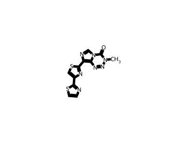 Cn1nnc2c(-c3nc(-c4nccs4)cs3)ncn2c1=O